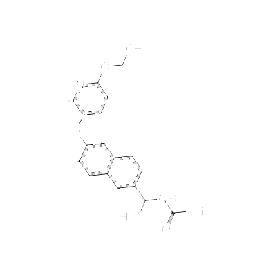 CCOc1ccc(Oc2ccc3cc(C(C)NC(C)=O)ccc3c2)cn1